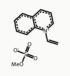 C=C[n+]1cccc2ccccc21.COS(=O)(=O)[O-]